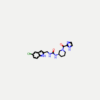 O=C(NCc1cc2cc(Cl)ccc2[nH]1)N[C@@H]1CCCN(C(=O)c2ncc[nH]2)C1